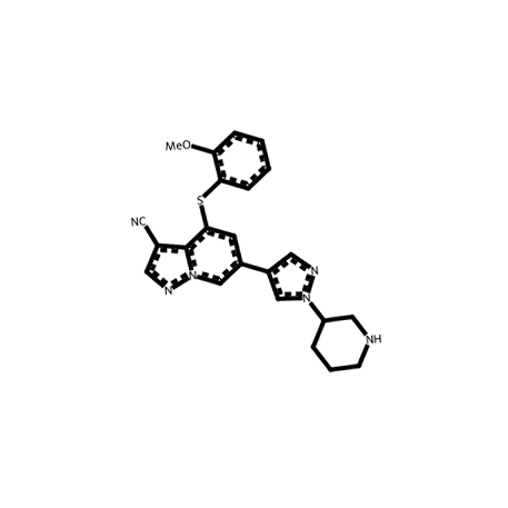 COc1ccccc1Sc1cc(-c2cnn(C3CCCNC3)c2)cn2ncc(C#N)c12